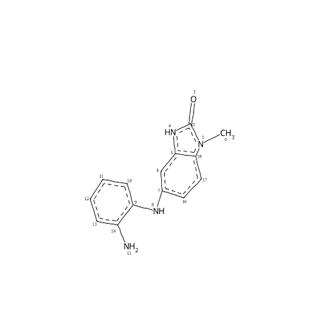 Cn1c(=O)[nH]c2cc(Nc3ccccc3N)ccc21